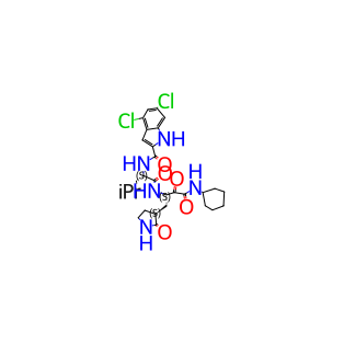 CC(C)C[C@H](NC(=O)c1cc2c(Cl)cc(Cl)cc2[nH]1)C(=O)N[C@@H](C[C@@H]1CCNC1=O)C(=O)C(=O)NC1CCCCC1